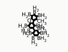 Bc1c(B)c(B)c(-c2c(B)c(B)c3oc4c(B)c(B)c(B)c(C)c4c3c2B)c(B)c1B